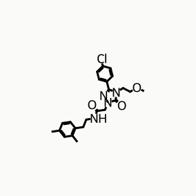 COCCn1c(-c2ccc(Cl)cc2)nn(CC(=O)NCCc2ccc(C)cc2C)c1=O